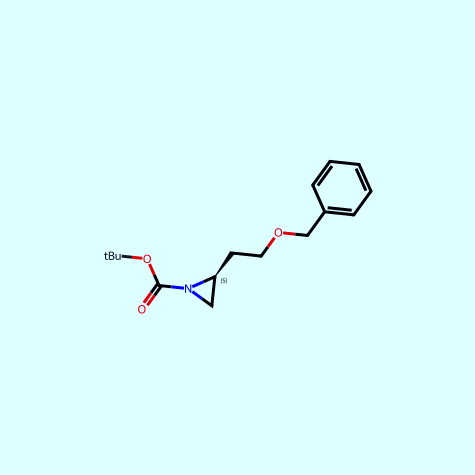 CC(C)(C)OC(=O)N1C[C@@H]1CCOCc1ccccc1